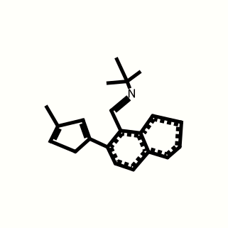 CC1=CCC(c2ccc3ccccc3c2C=NC(C)(C)C)=C1